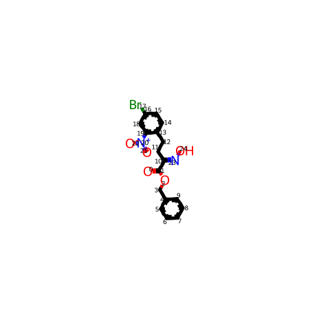 O=C(OCc1ccccc1)C(CCc1ccc(Br)cc1[N+](=O)[O-])=NO